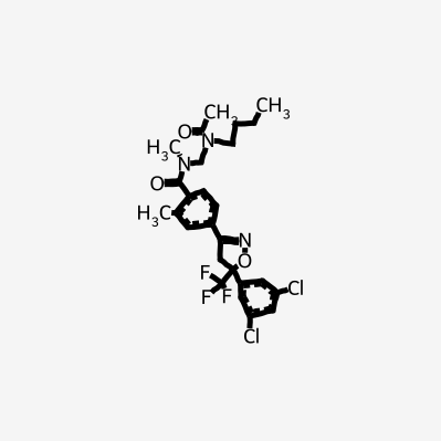 CCCCN(CN(C)C(=O)c1ccc(C2=NOC(c3cc(Cl)cc(Cl)c3)(C(F)(F)F)C2)cc1C)C(C)=O